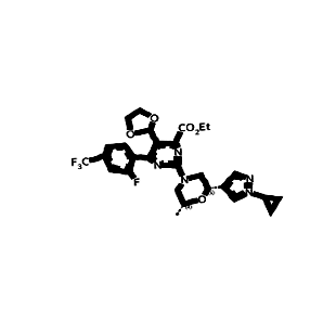 CCOC(=O)c1nc(N2C[C@@H](C)O[C@@H](c3cnn(C4CC4)c3)C2)nc(-c2ccc(C(F)(F)F)cc2F)c1C1OCCO1